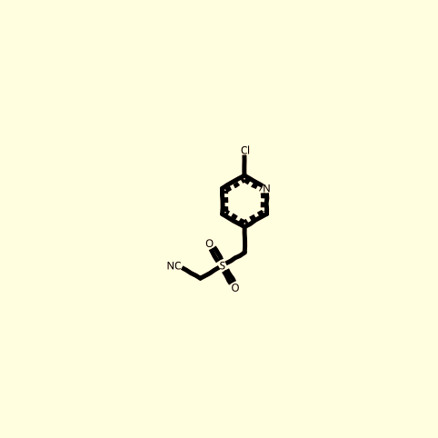 N#CCS(=O)(=O)Cc1ccc(Cl)nc1